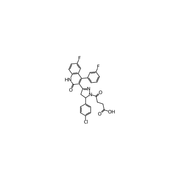 O=C(O)CCC(=O)N1N=C(c2c(-c3cccc(F)c3)c3cc(F)ccc3[nH]c2=O)CC1c1ccc(Cl)cc1